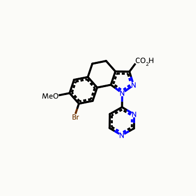 COc1cc2c(cc1Br)-c1c(c(C(=O)O)nn1-c1ccncn1)CC2